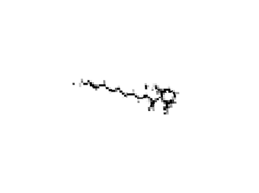 CCCCC=CCCCCCCCC(=O)n1c(N)ccnc1=O